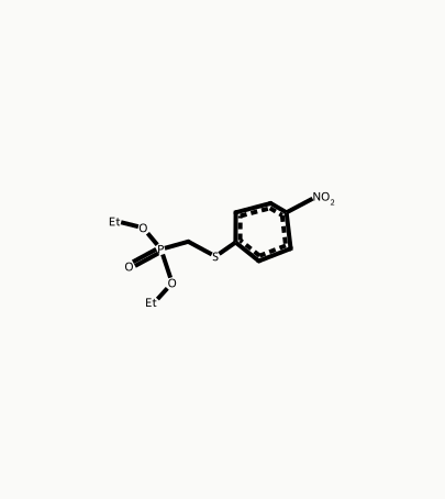 CCOP(=O)(CSc1ccc([N+](=O)[O-])cc1)OCC